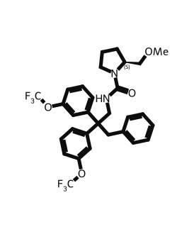 COC[C@@H]1CCCN1C(=O)NCC(Cc1ccccc1)(c1cccc(OC(F)(F)F)c1)c1cccc(OC(F)(F)F)c1